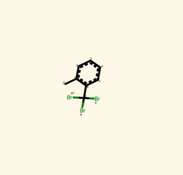 [CH2]c1ccccc1C(Br)(Br)Br